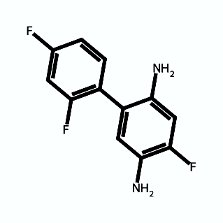 Nc1cc(-c2ccc(F)cc2F)c(N)cc1F